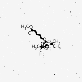 COC(=O)CCCCOP(=O)(OC(C)(C)C)OC(C)(C)C